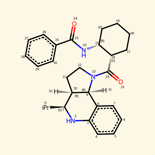 CC(C)[C@@H]1Nc2ccccc2[C@H]2[C@@H]1CCN2C(=O)[C@H]1CCCC[C@H]1NC(=O)c1ccccc1